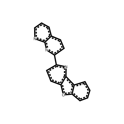 c1cnc2nc(-c3ccc4oc5ccccc5c4n3)ccc2c1